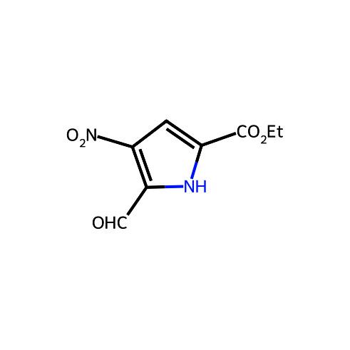 CCOC(=O)c1cc([N+](=O)[O-])c(C=O)[nH]1